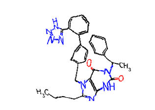 CCCCc1nc2[nH]c(=O)n(C(C)c3ccccc3)c(=O)c2n1Cc1ccc(-c2ccccc2-c2nnn[nH]2)cc1